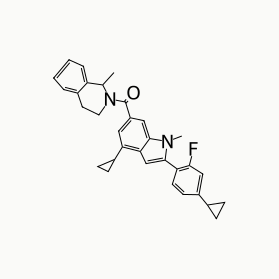 CC1c2ccccc2CCN1C(=O)c1cc(C2CC2)c2cc(-c3ccc(C4CC4)cc3F)n(C)c2c1